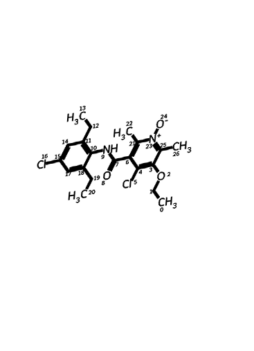 CCOc1c(Cl)c(C(=O)Nc2c(CC)cc(Cl)cc2CC)c(C)[n+]([O-])c1C